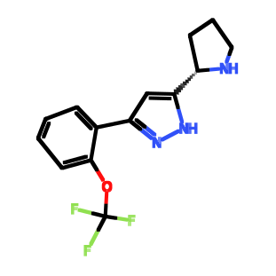 FC(F)(F)Oc1ccccc1-c1cc([C@@H]2CCCN2)[nH]n1